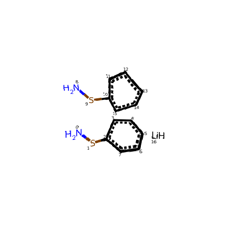 NSc1ccccc1.NSc1ccccc1.[LiH]